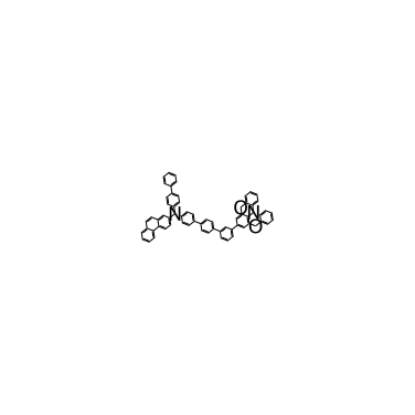 c1ccc(-c2ccc(N(c3ccc(-c4ccc(-c5cccc(-c6cc7c8c(c6)Oc6ccccc6N8c6ccccc6O7)c5)cc4)cc3)c3ccc4c(ccc5ccccc54)c3)cc2)cc1